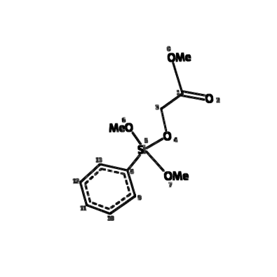 COC(=O)CO[Si](OC)(OC)c1ccccc1